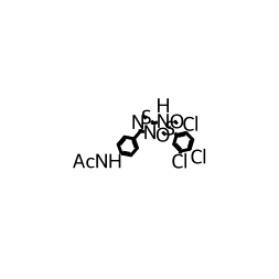 CC(=O)Nc1ccc(-c2nsc(NS(=O)(=O)c3cc(Cl)c(Cl)cc3Cl)n2)cc1